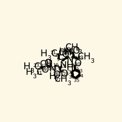 CNC(=O)[C@@H](NC(=O)[C@H](CC(C)C)N[C@H](CNC(=O)OC(C)(C)C)C(=O)OC)[C@@H](C)OCc1ccccc1